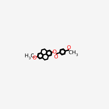 COc1cc2c3c(c1)CCc1cc(OC(=O)c4ccc(C(C)=O)cc4)cc(c1-3)CC2